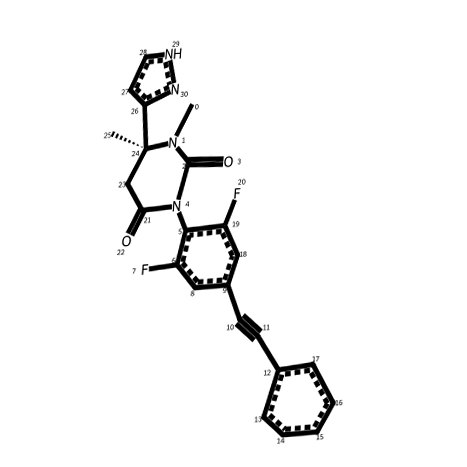 CN1C(=O)N(c2c(F)cc(C#Cc3ccccc3)cc2F)C(=O)C[C@@]1(C)c1cc[nH]n1